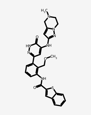 COCc1c(NC(=O)c2cc3ccccc3s2)cccc1-c1cc(Nc2cc3n(n2)CCN(C)C3)c(=O)[nH]n1